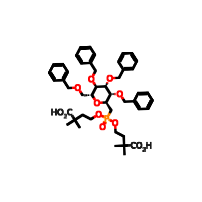 CC(C)(CCOP(=O)(C[C@H]1O[C@H](COCc2ccccc2)[C@@H](OCc2ccccc2)[C@H](OCc2ccccc2)[C@@H]1OCc1ccccc1)OCCC(C)(C)C(=O)O)C(=O)O